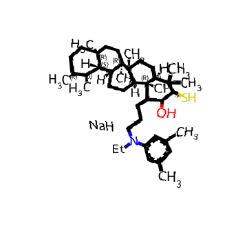 CCN(CCCC1C(O)C(S)C(C)(C)[C@@H]2CC[C@]3(C)[C@H](CC[C@@H]4[C@@H]5[C@@H](C)[C@H](C)CC[C@]5(C)CC[C@]43C)[C@@]12C)c1cc(C)cc(C)c1.[NaH]